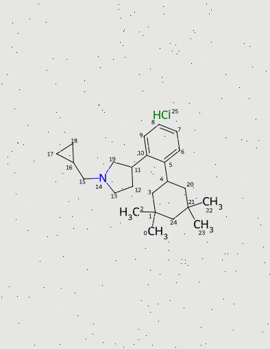 CC1(C)CC(c2ccccc2C2CCN(CC3CC3)C2)CC(C)(C)C1.Cl